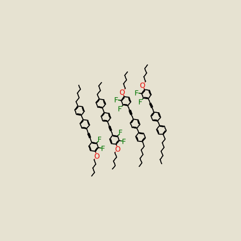 CCCCCCCc1ccc(-c2ccc(C#Cc3ccc(OCCCCC)c(F)c3F)cc2)cc1.CCCCCCc1ccc(-c2ccc(C#Cc3ccc(OCCCCC)c(F)c3F)cc2)cc1.CCCCCOc1ccc(C#Cc2ccc(-c3ccc(CCCC)cc3)cc2)c(F)c1F.CCCCCOc1ccc(C#Cc2ccc(-c3ccc(CCCCC)cc3)cc2)c(F)c1F